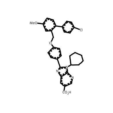 COc1ccc(-c2ccc(Cl)cc2)c(COc2ccc(-c3nc4cc(C(=O)O)cnc4n3C3CCCCC3)cc2)c1